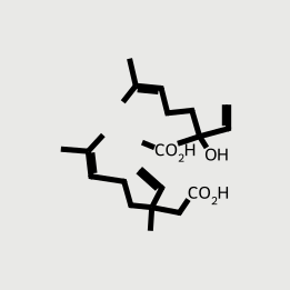 C=CC(C)(CCC=C(C)C)CC(=O)O.C=CC(C)(O)CCC=C(C)C.CC(=O)O